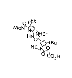 Br.CCOc1cc2c(nc1C(=O)NC)C(=N)N(CC(=O)c1cc3c(c(C(C)(C)C)c1)OC(CC(=O)O)C(=O)N3CC#N)C2